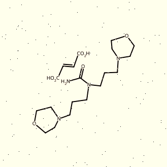 NC(=O)N(CCCN1CCOCC1)CCCN1CCOCC1.O=C(O)C=CC(=O)O